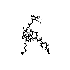 CCCCOC(=O)C12CC1(C(=O)O)SC(NCOCC[Si](C)(C)C)=NC2(C)c1cc(/C=C(\F)c2ccc(C#N)cn2)cnc1F